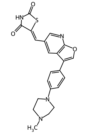 CN1CCN(c2ccc(-c3coc4ncc(/C=C5\SC(=O)NC5=O)cc34)cc2)CC1